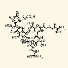 C[C@@H](CCCNC(=N)N)C(=O)N[C@@H](CCC(N)=O)C(=O)N[C@H](C(=O)N[C@@H](CCCNC(=N)N)C(=O)N[C@@H](CO)C(=O)N[C@@H](CO)C(=O)N[C@H](C(=O)N[C@@H](CCC(=O)O)C(N)=O)[C@@H](C)O)[C@@H](C)O